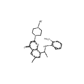 CC(=O)N1CCN(c2cc(=O)c3cc(C)cc(C(C)Nc4ccccc4C(=O)O)c3o2)CC1